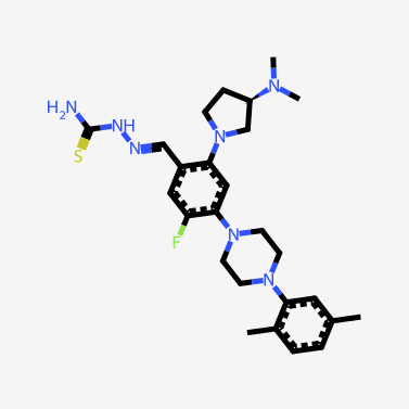 Cc1ccc(C)c(N2CCN(c3cc(N4CC[C@@H](N(C)C)C4)c(/C=N/NC(N)=S)cc3F)CC2)c1